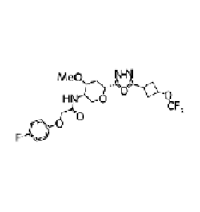 COC1C[C@H](c2nnc(C3CC(OC(F)(F)F)C3)o2)OC[C@H]1NC(=O)COc1ccc(F)cc1